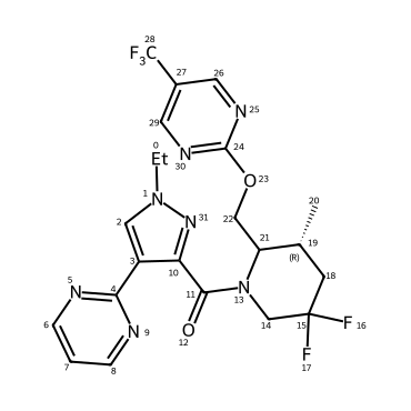 CCn1cc(-c2ncccn2)c(C(=O)N2CC(F)(F)C[C@@H](C)C2COc2ncc(C(F)(F)F)cn2)n1